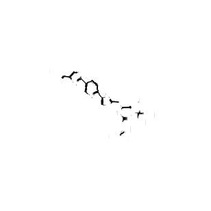 CC(C)(C)OC(=O)N[C@@H](Cc1nc(-c2ccc(-c3nc(C(=O)O)cs3)cn2)cs1)C(=O)OC(C)(C)C